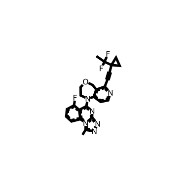 Cc1nnc2nc(N3CCOCc4c3ccnc4C#CC3(C(C)(F)F)CC3)c3c(F)cccc3n12